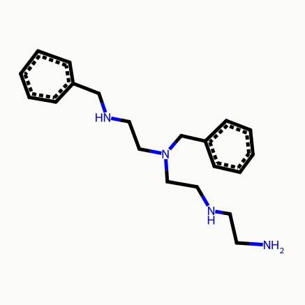 NCCNCCN(CCNCc1ccccc1)Cc1ccccc1